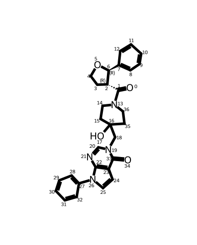 O=C([C@@H]1CCO[C@H]1c1ccccc1)N1CCC(O)(Cn2cnc3c(ccn3-c3ccccc3)c2=O)CC1